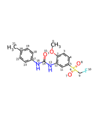 COc1ccc(S(=O)(=O)CF)cc1NC(=O)Nc1ccc(C)cc1